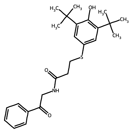 CC(C)(C)c1cc(SCCC(=O)NCC(=O)c2ccccc2)cc(C(C)(C)C)c1O